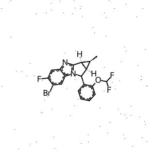 C[C@@H]1[C@@H]2c3nc4cc(F)c(Br)cc4n3C(c3ccccc3OC(F)F)[C@H]12